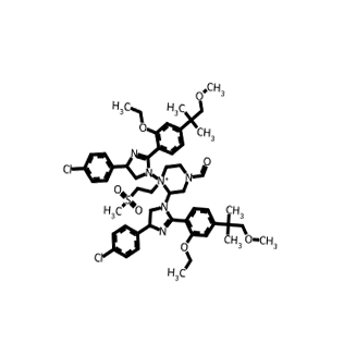 CCOc1cc(C(C)(C)COC)ccc1C1=NC(c2ccc(Cl)cc2)CN1C1CN(C=O)CC[N+]1(CCS(C)(=O)=O)N1CC(c2ccc(Cl)cc2)N=C1c1ccc(C(C)(C)COC)cc1OCC